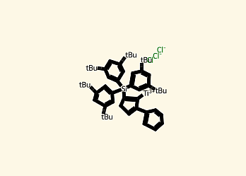 CC(C)(C)c1cc(C(C)(C)C)cc([Si](C2=[C]([Ti+3])C(c3ccccc3)=CC2)(c2cc(C(C)(C)C)cc(C(C)(C)C)c2)c2cc(C(C)(C)C)cc(C(C)(C)C)c2)c1.[Cl-].[Cl-].[Cl-]